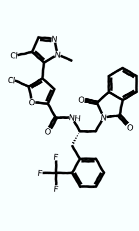 Cn1ncc(Cl)c1-c1cc(C(=O)N[C@@H](Cc2ccccc2C(F)(F)F)CN2C(=O)c3ccccc3C2=O)oc1Cl